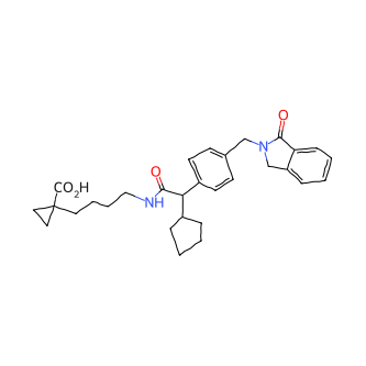 O=C(NCCCCC1(C(=O)O)CC1)C(c1ccc(CN2Cc3ccccc3C2=O)cc1)C1CCCC1